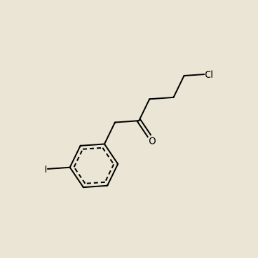 O=C(CCCCl)Cc1cccc(I)c1